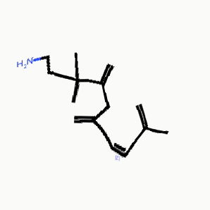 C=C(C)/C=C\C(=C)CC(=C)C(C)(C)CCN